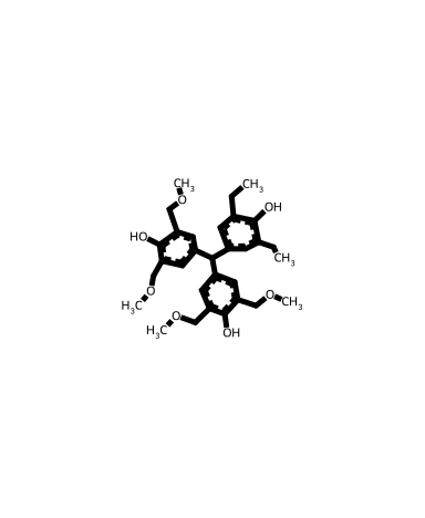 CCc1cc(C(c2cc(COC)c(O)c(COC)c2)c2cc(COC)c(O)c(COC)c2)cc(CC)c1O